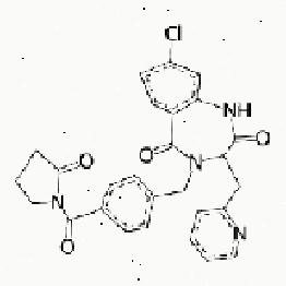 O=C1Nc2cc(Cl)ccc2C(=O)N(Cc2ccc(C(=O)N3CCCC3=O)cc2)C1Cc1ccccn1